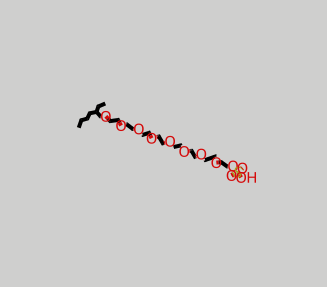 CCCCC(CC)COCCOCCOCCOCCOCCOCCOCCOCCOS(=O)(=O)O